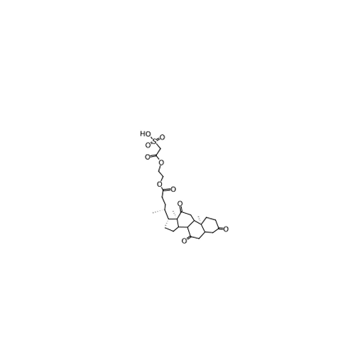 C[C@H](CCC(=O)OCCOC(=O)CS(=O)(=O)O)[C@H]1CCC2C3C(=O)CC4CC(=O)CC[C@]4(C)C3CC(=O)[C@@]21C